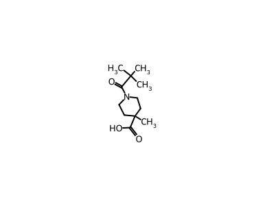 CC(C)(C)C(=O)N1CCC(C)(C(=O)O)CC1